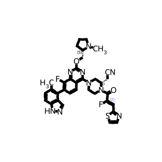 Cc1ccc2[nH]ncc2c1-c1ccc2c(N3CCN(C(=O)/C(F)=C/c4nccs4)[C@@H](CC#N)C3)nc(OC[C@@H]3CCCN3C)nc2c1F